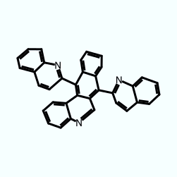 c1ccc2nc(-c3c4ccccc4c(-c4ccc5ccccc5n4)c4c3cnc3ccccc34)ccc2c1